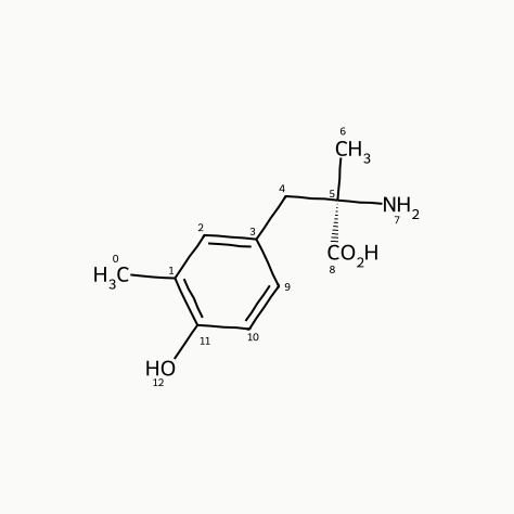 Cc1cc(C[C@@](C)(N)C(=O)O)ccc1O